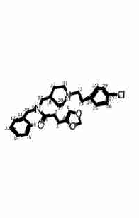 O=C(CCC1=COCO1)N(Cc1ccccc1)CC1CCN(CCc2ccc(Cl)cc2)CC1